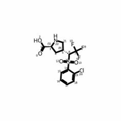 O=C(O)[C@@H]1C[C@@H](C(C(F)(F)F)S(=O)(=O)c2ccccc2Cl)CN1